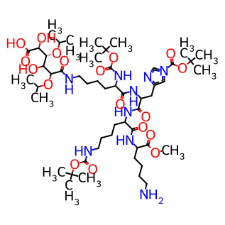 COC(=O)C(CCCCN)NC(=O)C(CCCCNC(=O)OC(C)(C)C)NC(=O)C(Cc1cn(C(=O)OC(C)(C)C)cn1)NC(=O)C(CCCCNC(=O)C(OC(C)C)C(O)[C@@H](OC(C)C)[C@H](O)C(=O)O)NC(=O)OC(C)(C)C